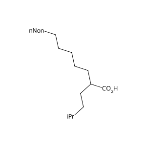 CCCCCCCCCCCCCCC(CCC(C)C)C(=O)O